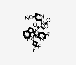 N#Cc1ccnc(N2C(=O)OC[C@H]2C(=O)N(c2cncc(F)c2)[C@@]2(C(=O)NC3CC(F)(F)C3)CCc3ccccc32)c1